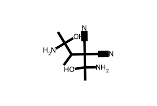 C[C](C(C)(N)O)C(C#N)(C#N)C(C)(N)O